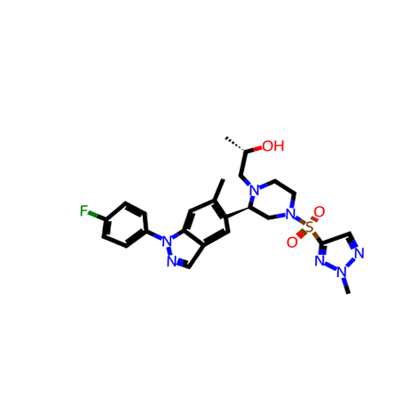 Cc1cc2c(cnn2-c2ccc(F)cc2)cc1[C@@H]1CN(S(=O)(=O)c2cnn(C)n2)CCN1C[C@H](C)O